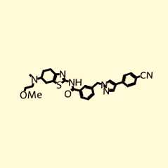 COCCN(C)C1CCc2nc(NC(=O)c3cccc(Cn4cc(-c5ccc(C#N)cc5)cn4)c3)sc2C1